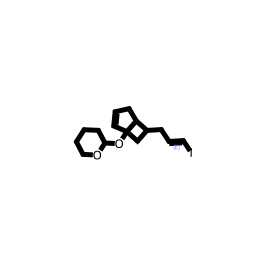 I/C=C/CC1CC2(OC3CCCCO3)C=CCC12